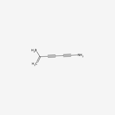 BC(=C)C#CC#CN